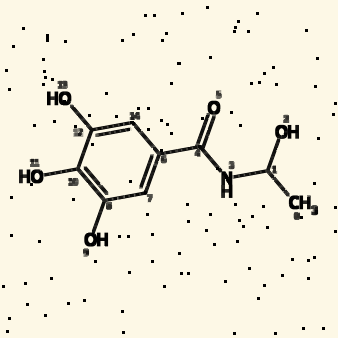 CC(O)NC(=O)c1cc(O)c(O)c(O)c1